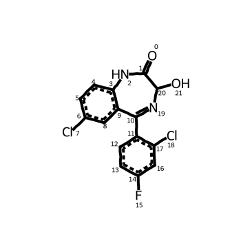 O=C1Nc2ccc(Cl)cc2C(c2ccc(F)cc2Cl)=NC1O